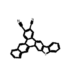 N#Cc1cc2c(cc1C#N)c1cc3c(cc1c1cc4ccccc4cc21)sc1ccccc13